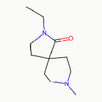 CCN1CCC2(CCN(C)CC2)C1=O